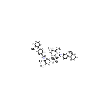 C[C@H]1[C@H](/C=C/c2ccc(-c3ccccc3C#N)cn2)[C@H](NS(=O)(=O)CC2C[C@@H](/C=C/c3ccc(-c4ccccc4C#N)cn3)[C@H](C)[C@@H](C)C2)CC[C@@H]1C